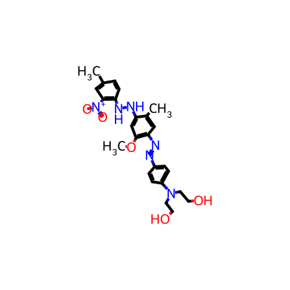 COc1cc(NNc2ccc(C)cc2[N+](=O)[O-])c(C)cc1/N=N/c1ccc(N(CCO)CCO)cc1